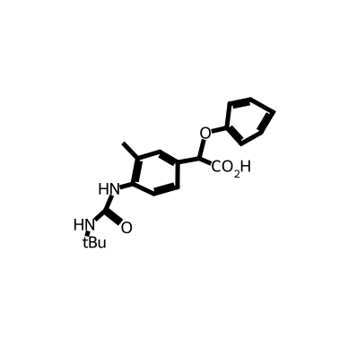 Cc1cc(C(Oc2ccccc2)C(=O)O)ccc1NC(=O)NC(C)(C)C